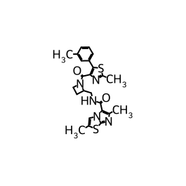 Cc1cccc(-c2sc(C)nc2C(=O)N2CCC2CNC(=O)c2c(C)nc3sc(C)cn23)c1